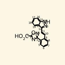 O=C(O)c1nc(-c2ccccc2C=Cc2n[nH]c3ccccc23)no1